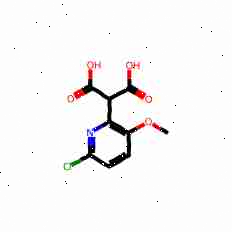 COc1ccc(Cl)nc1C(C(=O)O)C(=O)O